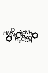 CC(=O)Nc1ccccc1OCC(C)(O)CN1CCC(n2c(=O)[nH]c3ccccc32)CC1